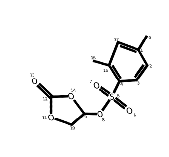 Cc1ccc(S(=O)(=O)OC2COC(=O)O2)c(C)c1